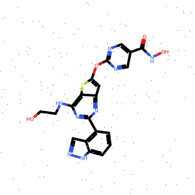 O=C(NO)c1cnc(Oc2cc3nc(-c4cccc5[nH]ncc45)nc(NCCO)c3s2)nc1